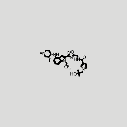 CN1CC[C@@H](Nc2cccc3c2cc(-c2noc(CNC(=O)c4ccn(CC(C)(C)O)c4)n2)n3CC(F)(F)F)[C@@H](F)C1